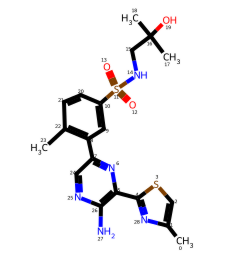 Cc1csc(-c2nc(-c3cc(S(=O)(=O)NCC(C)(C)O)ccc3C)cnc2N)n1